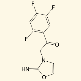 N=c1occn1CC(=O)c1cc(F)c(F)cc1F